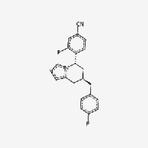 N#Cc1ccc([C@@H]2C[C@@H](Cc3ccc(F)cc3)Cc3cncn32)c(F)c1